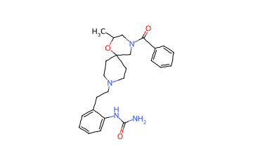 CC1CN(C(=O)c2ccccc2)CC2(CCN(CCc3ccccc3NC(N)=O)CC2)O1